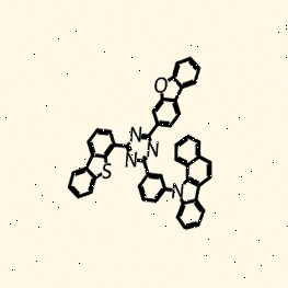 c1cc(-c2nc(-c3ccc4c(c3)oc3ccccc34)nc(-c3cccc4c3sc3ccccc34)n2)cc(-n2c3ccccc3c3ccc4ccccc4c32)c1